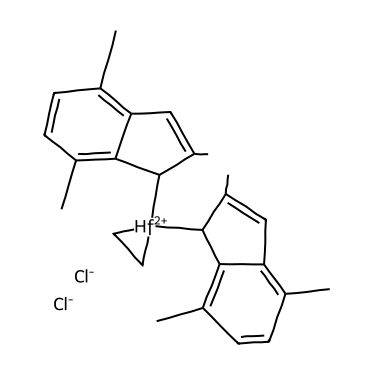 CC1=Cc2c(C)ccc(C)c2[CH]1[Hf+2]1([CH]2C(C)=Cc3c(C)ccc(C)c32)[CH2][CH2]1.[Cl-].[Cl-]